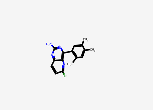 Cc1cc(C)c(-c2nc(N)nc3ccc(Cl)nc23)cc1C